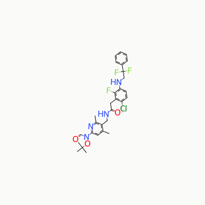 Cc1cc(N(C=O)OC(C)(C)C)nc(C)c1CNC(=O)Cc1c(Cl)ccc(NCC(F)(F)c2ccccc2)c1F